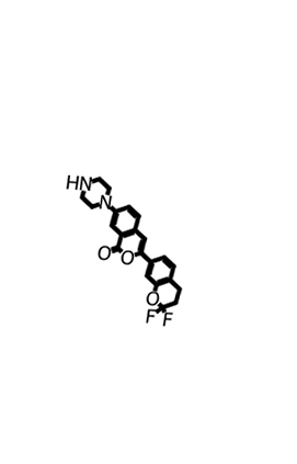 O=c1oc(-c2ccc3c(c2)OC(F)(F)CC3)cc2ccc(N3CCNCC3)cc12